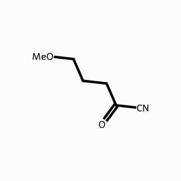 COCCCC(=O)C#N